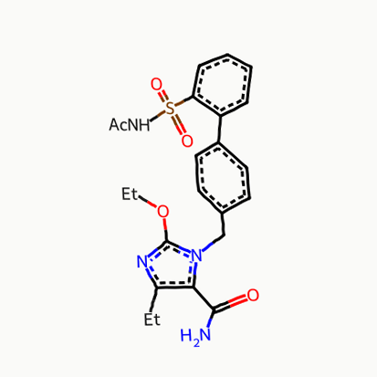 CCOc1nc(CC)c(C(N)=O)n1Cc1ccc(-c2ccccc2S(=O)(=O)NC(C)=O)cc1